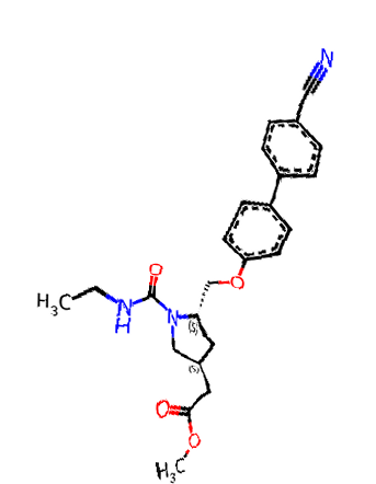 CCNC(=O)N1C[C@H](CC(=O)OC)C[C@H]1COc1ccc(-c2ccc(C#N)cc2)cc1